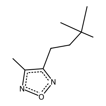 Cc1nonc1CCC(C)(C)C